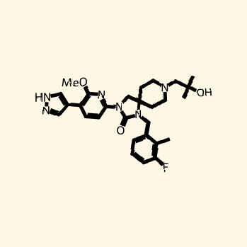 COc1nc(N2CC3(CCN(CC(C)(C)O)CC3)N(Cc3cccc(F)c3C)C2=O)ccc1-c1cn[nH]c1